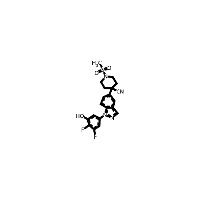 CS(=O)(=O)N1CCC(C#N)(c2ccc3c(cnn3-c3cc(O)c(F)c(F)c3)c2)CC1